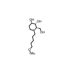 CCCCOCCCCCN1CC[C@@H](O)[C@H](O)[C@H]1CO